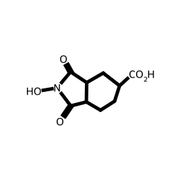 O=C(O)C1CCC2C(=O)N(O)C(=O)C2C1